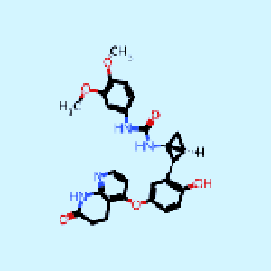 COc1ccc(NC(=O)N[C@@]23C[C@H]2[C@H]3c2cc(Oc3ccnc4c3CCC(=O)N4)ccc2O)cc1OC